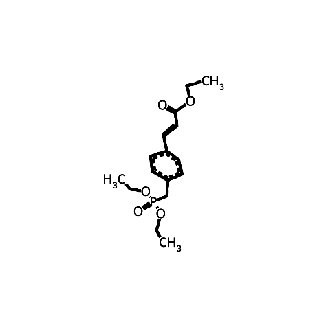 CCOC(=O)/C=C/c1ccc(CP(=O)(OCC)OCC)cc1